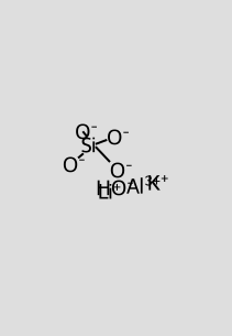 [Al+3].[K+].[Li+].[O-][Si]([O-])([O-])[O-].[OH-]